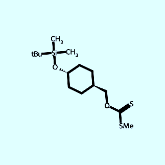 CSC(=S)OC[C@H]1CC[C@H](O[Si](C)(C)C(C)(C)C)CC1